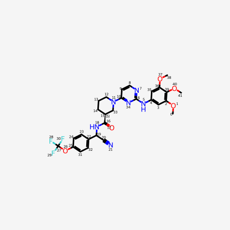 COc1cc(Nc2nccc(N3CCC[C@H](C(=O)NC(C#N)c4ccc(OC(F)(F)F)cc4)C3)n2)cc(OC)c1OC